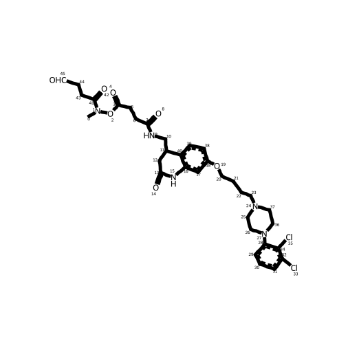 CN(OC(=O)CCC(=O)NCC1CC(=O)Nc2cc(OCCCCN3CCN(c4cccc(Cl)c4Cl)CC3)ccc21)C(=O)CCC=O